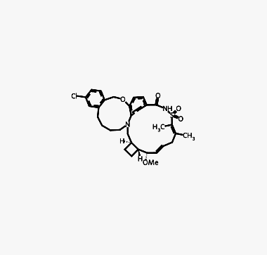 CO[C@H]1/C=C/C/C(C)=C(\C)S(=O)(=O)NC(=O)c2ccc3c(c2)N(CCCCc2cc(Cl)ccc2CO3)C[C@@H]2CC[C@H]21